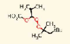 C=C(C)C(OOC(C)(C)CC(C)(C)C)OC(=O)O